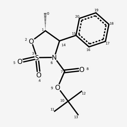 C[C@H]1OS(=O)(=O)N(C(=O)OC(C)(C)C)C1c1ccccc1